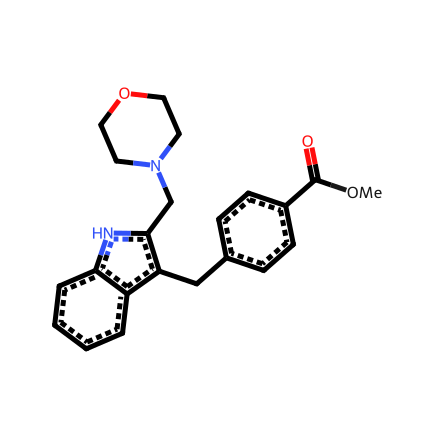 COC(=O)c1ccc(Cc2c(CN3CCOCC3)[nH]c3ccccc23)cc1